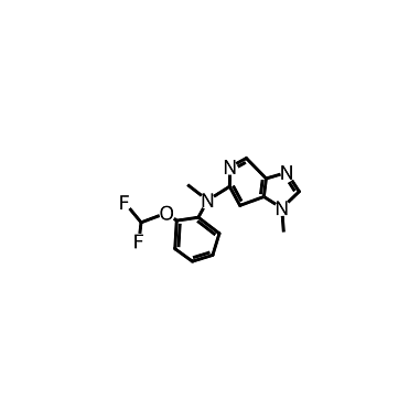 CN(c1cc2c(cn1)ncn2C)c1ccccc1OC(F)F